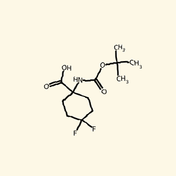 CC(C)(C)OC(=O)NC1(C(=O)O)CCC(F)(F)CC1